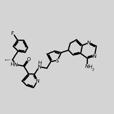 C[C@@H](NC(=O)c1cccnc1NCc1ccc(C2C=c3c(N)ncnc3=CC2)s1)c1cccc(F)c1